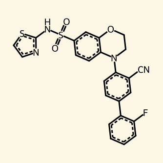 N#Cc1cc(-c2ccccc2F)ccc1N1CCOc2cc(S(=O)(=O)Nc3nccs3)ccc21